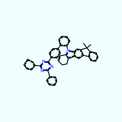 CC1(C)c2ccccc2-c2cc3c4c(n(-c5ccccc5-c5ccc(-c6nc(-c7ccccc7)nc(-c7ccccc7)n6)cc5)c3cc21)C=CCC4